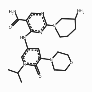 CC(C)n1cc(Nc2nc(N3CCCC(N)C3)ncc2C(N)=O)cc(N2CCOCC2)c1=O